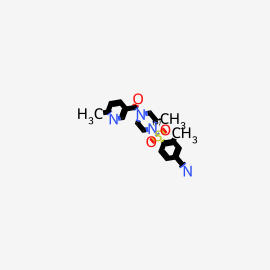 Cc1ccc(C(=O)N2CCN(S(=O)(=O)c3ccc(C#N)cc3C)[C@@H](C)C2)cn1